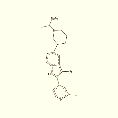 CNC(C)N1CCCC(c2ccc3[nH]c(-c4ccnc(C)c4)c(C(C)C)c3c2)C1